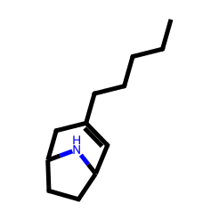 CCCCCC1=CC2CCC(C1)N2